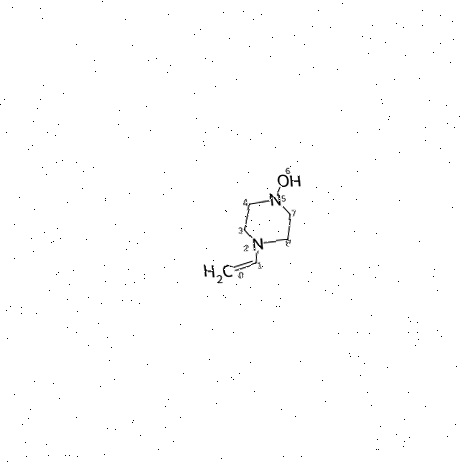 C=CN1CCN(O)CC1